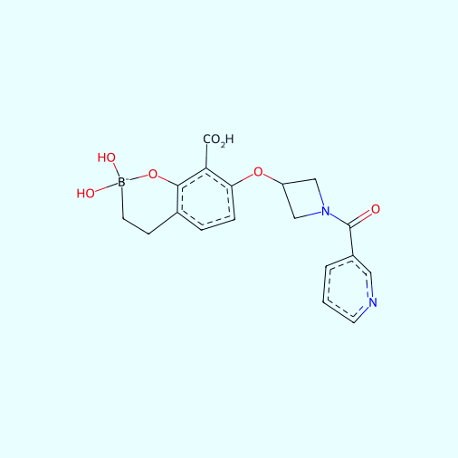 O=C(O)c1c(OC2CN(C(=O)c3cccnc3)C2)ccc2c1O[B-](O)(O)CC2